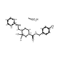 CS(=O)(=O)O.O=C(OCc1ccc(Cl)cc1)N1CC[C@H](CNc2ncccn2)C(F)(F)C1